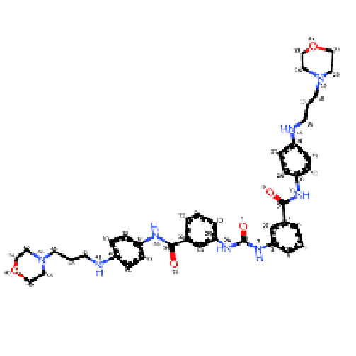 O=C(Nc1cccc(C(=O)Nc2ccc(NCCCN3CCOCC3)cc2)c1)Nc1cccc(C(=O)Nc2ccc(NCCCN3CCOCC3)cc2)c1